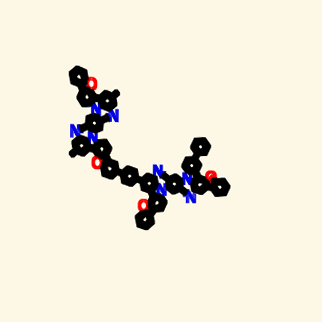 Cc1ccc2c(c1)c1c3oc4ccccc4c3ccc1n2-c1cc(C#N)c(-n2c3ccc(C)cc3c3c4oc5ccc(-c6ccc(-c7ccc8c(c7)c7c9oc%10ccccc%10c9ccc7n8-c7cc(C#N)c(-n8c9ccc(-c%10ccccc%10)cc9c9c%10oc%11ccccc%11c%10ccc98)cc7C#N)cc6)cc5c4ccc32)cc1C#N